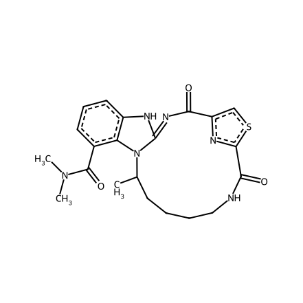 CC1CCCCNC(=O)c2nc(cs2)C(=O)/N=C2\Nc3cccc(C(=O)N(C)C)c3N21